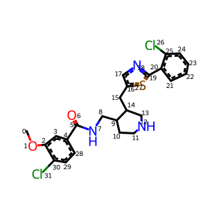 COc1cc(C(=O)NCC2CCNCC2Cc2cnc(-c3ccccc3Cl)s2)ccc1Cl